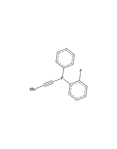 CC(C)(C)C#CP(c1ccccc1)c1ccccc1F